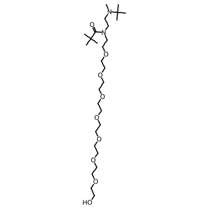 CN(CCN(CCOCCOCCOCCOCCOCCOCCOCCO)C(=O)C(C)(C)C)C(C)(C)C